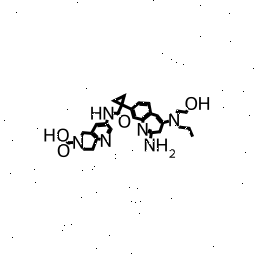 CCCN(CCO)C1=Cc2ccc(C3(C(=O)Nc4cnc5c(c4)CN(C(=O)O)CC5)CC3)cc2N=C(N)C1